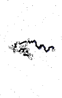 CC/C=C\C/C=C\C/C=C\C/C=C\C/C=C\CCCC(=O)NCCN(C)CCN(C)P(=O)(O)OC[C@H]1O[C@@H](n2ccc(=O)[nH]c2=O)[C@](C)(F)[C@@H]1O